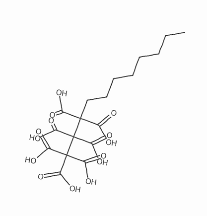 CCCCCCCCC(C(=O)O)(C(=O)O)C(C(=O)O)(C(=O)O)C(C(=O)O)(C(=O)O)C(=O)O